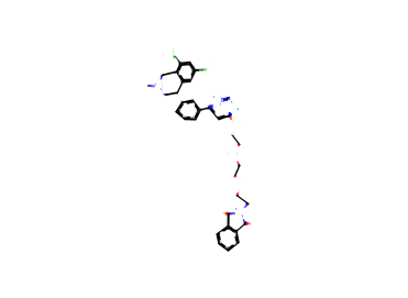 CN1Cc2c(Cl)cc(Cl)cc2[C@H](c2cccc(-c3cc(OCCOCCOCCN4C(=O)c5ccccc5C4=O)ncn3)c2)C1